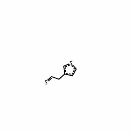 S=CCc1ccsc1